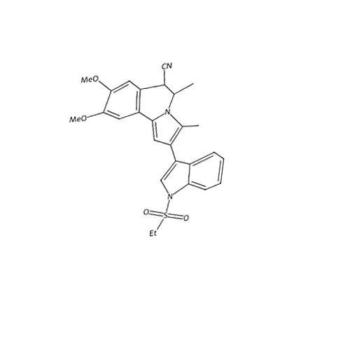 CCS(=O)(=O)n1cc(-c2cc3n(c2C)C(C)C(C#N)c2cc(OC)c(OC)cc2-3)c2ccccc21